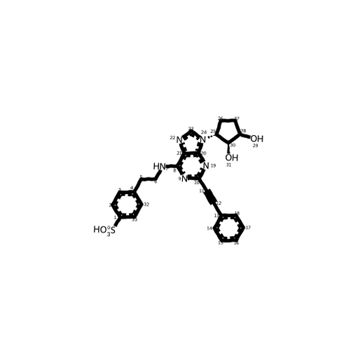 O=S(=O)(O)c1ccc(CCNc2nc(C#Cc3ccccc3)nc3c2ncn3[C@@H]2CCC(O)[C@H]2O)cc1